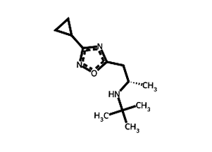 C[C@@H](Cc1nc(C2CC2)no1)NC(C)(C)C